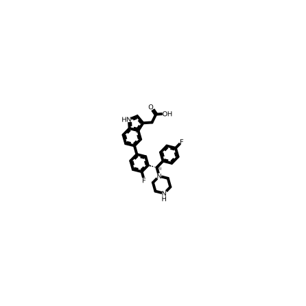 O=C(O)Cc1c[nH]c2ccc(-c3ccc(F)c([C@H](c4ccc(F)cc4)N4CCNCC4)c3)cc12